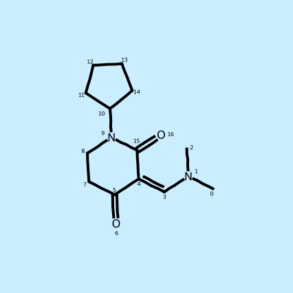 CN(C)/C=C1/C(=O)CCN(C2CCCC2)C1=O